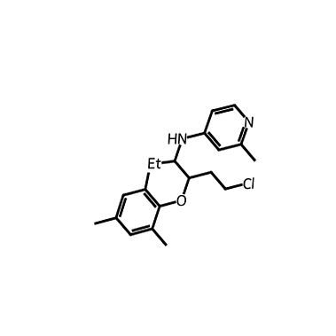 CCC(Nc1ccnc(C)c1)C(CCCl)Oc1c(C)cc(C)cc1C